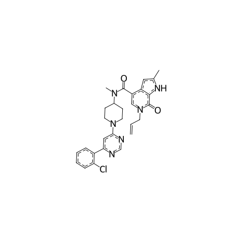 C=CCn1cc(C(=O)N(C)C2CCN(c3cc(-c4ccccc4Cl)ncn3)CC2)c2cc(C)[nH]c2c1=O